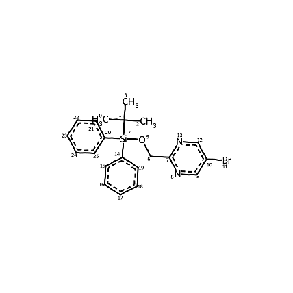 CC(C)(C)[Si](OCc1ncc(Br)cn1)(c1ccccc1)c1ccccc1